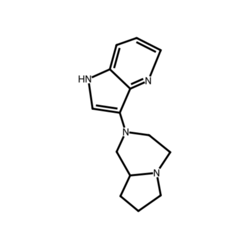 c1cnc2c(N3CCN4CCCC4C3)c[nH]c2c1